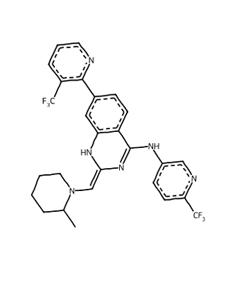 CC1CCCCN1C=C1N=C(Nc2ccc(C(F)(F)F)nc2)c2ccc(-c3ncccc3C(F)(F)F)cc2N1